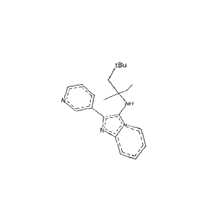 CC(C)(C)CC(C)(C)Nc1c(-c2cccnc2)nc2ccccn12